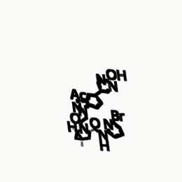 CC(=O)c1nn(CC(=O)N2[C@H](C(=O)Nc3cccc(Br)n3)C[C@@]3(C)C[C@@H]23)c2ccc(-c3cnc(O)nc3)cc12